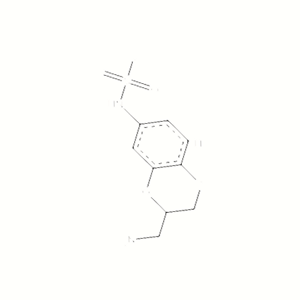 CS(=O)(=O)Nc1ccc2c(c1)OC(CN)CO2.Cl